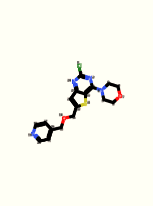 Clc1nc(N2CCOCC2)c2sc(COCc3ccncc3)cc2n1